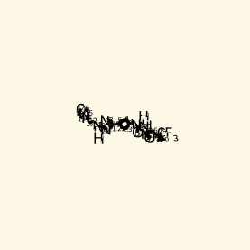 O=C(Nc1ccc(-c2cnc(NCCN3CCOCC3)nc2)cc1)Nc1cc(C2(C(F)(F)F)CC2)on1